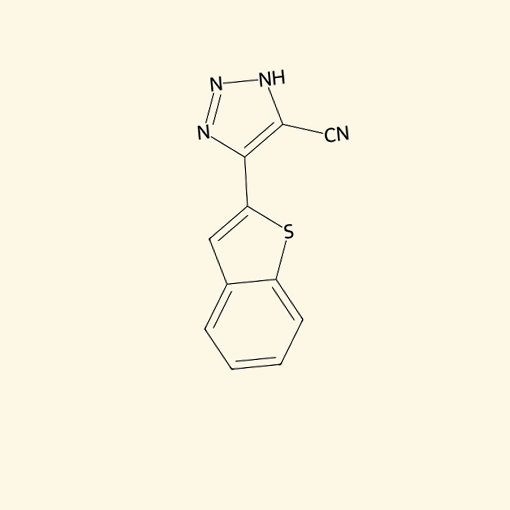 N#Cc1[nH]nnc1-c1cc2ccccc2s1